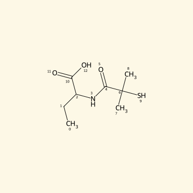 CCC(NC(=O)C(C)(C)S)C(=O)O